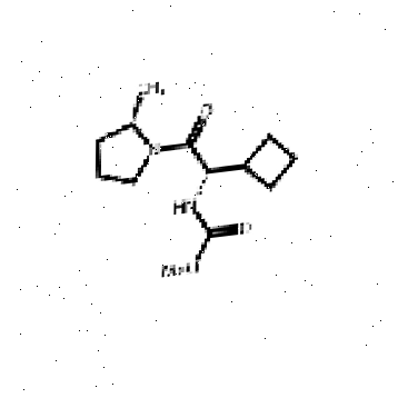 COC(=O)N[C@H](C(=O)N1CCC[C@H]1C)C1CCC1